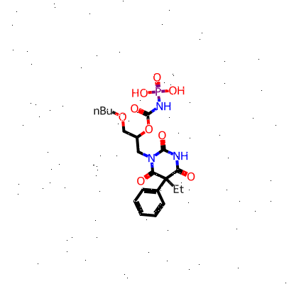 CCCCOCC(CN1C(=O)NC(=O)C(CC)(c2ccccc2)C1=O)OC(=O)NP(=O)(O)O